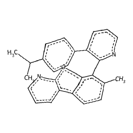 Cc1ccc2c(oc3ncccc32)c1-c1ncccc1-c1ccc(C(C)C)cc1